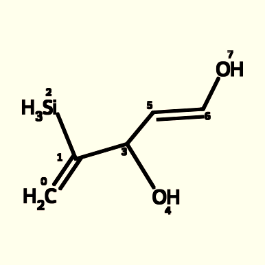 C=C([SiH3])C(O)C=CO